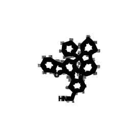 N=Cc1ccc2[nH]c3c(C4(c5ccccc5)c5ccccc5-c5ccccc54)cc4c5ccccc5oc4c3c2c1